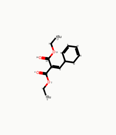 CC(C)(C)COC(=O)C(=CC1C=CC=CC1)C(=O)OCC(C)(C)C